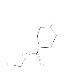 CCNC(=O)N1CCC([AsH2])CC1